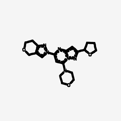 c1c(-n2cc3c(n2)CCOC3)nc2cc(C3CCCO3)nn2c1N1CCOCC1